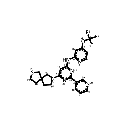 FC(F)(F)Oc1ccnc(Nc2cc(N3CCC4(CCSC4)C3)nc(-c3cccnc3)n2)c1